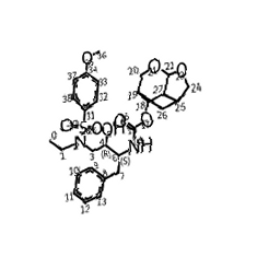 CCN(C[C@@H](O)[C@H](Cc1ccccc1)NC(=O)OC1C2COC3OCC(C2)C31)S(=O)(=O)c1ccc(OC)cc1